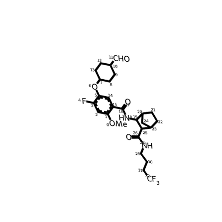 COc1cc(F)c(OC2CCC(C=O)CC2)cc1C(=O)NC1C2CCC(C2)C1C(=O)NCCCC(F)(F)F